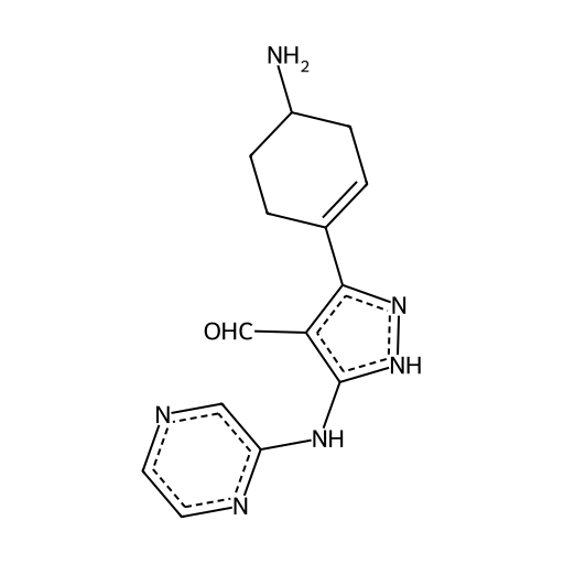 NC1CC=C(c2n[nH]c(Nc3cnccn3)c2C=O)CC1